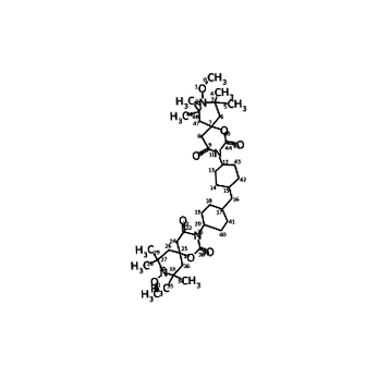 CON1C(C)(C)CC2(CC(=O)N(C3CCC(CC4CCC(N5C(=O)CC6(CC(C)(C)N(OC)C(C)(C)C6)OC5=O)CC4)CC3)C(=O)O2)CC1(C)C